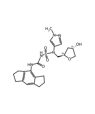 Cn1cc(N(C[C@H]2C[C@H](O)CO2)S(=O)(=O)NC(=O)Nc2c3c(cc4c2CCC4)CCC3)cn1